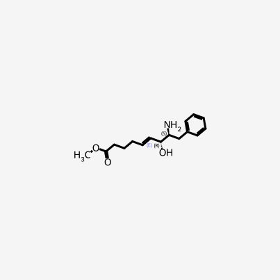 COC(=O)CCC/C=C/[C@@H](O)[C@@H](N)Cc1ccccc1